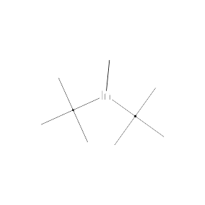 [CH3][In]([C](C)(C)C)[C](C)(C)C